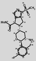 CNC(=O)C1c2cnn(S(C)(=O)=O)c2CN1[C@H]1CO[C@H](c2cc(F)ccc2F)[C@@H](N)C1